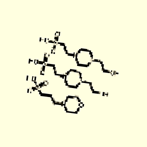 O=S(=O)(O)CCCN1CCOCC1.O=S(=O)(O)CCN1CCN(CCO)CC1.O=S(=O)(O)CCN1CCN(CCO)CC1